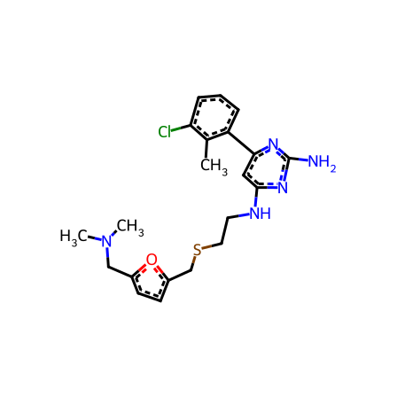 Cc1c(Cl)cccc1-c1cc(NCCSCc2ccc(CN(C)C)o2)nc(N)n1